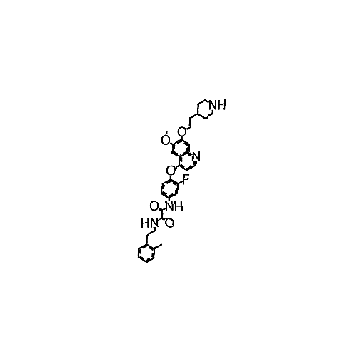 COc1cc2c(Oc3ccc(NC(=O)C(=O)NCCc4ccccc4C)cc3F)ccnc2cc1OCCC1CCNCC1